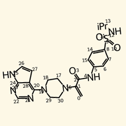 C=C(C(=O)Nc1ccc(S(=O)(=O)NC(C)C)cc1)N1CCN(c2ncnc3[nH]ccc23)CC1